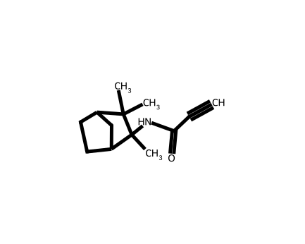 C#CC(=O)NC1(C)C2CCC(C2)C1(C)C